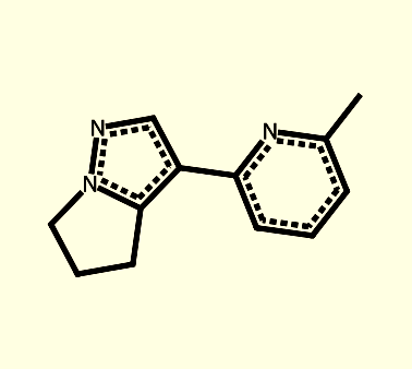 Cc1cccc(-c2cnn3c2CCC3)n1